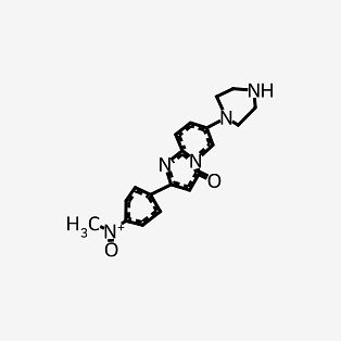 C[N+](=O)c1ccc(-c2cc(=O)n3cc(N4CCNCC4)ccc3n2)cc1